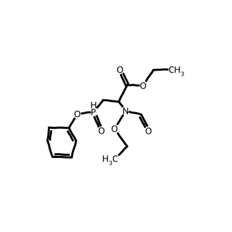 CCOC(=O)C(C[PH](=O)Oc1ccccc1)N(C=O)OCC